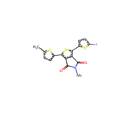 CCCN1C(=O)c2c(-c3ccc(C)s3)sc(-c3ccc(I)s3)c2C1=O